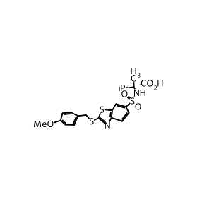 COc1ccc(CSc2nc3ccc(S(=O)(=O)N[C@@](C)(C(=O)O)C(C)C)cc3s2)cc1